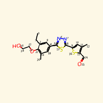 CCc1cc(-c2nnc(-c3cc(C)c(C=O)s3)s2)cc(C)c1OCCO